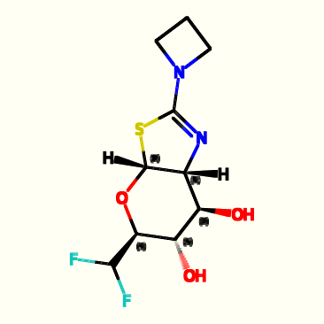 O[C@H]1[C@H](O)[C@@H](C(F)F)O[C@@H]2SC(N3CCC3)=N[C@H]12